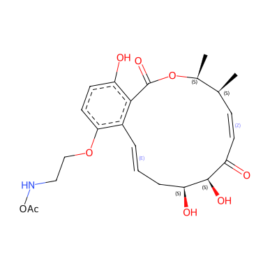 CC(=O)ONCCOc1ccc(O)c2c1/C=C/C[C@H](O)[C@H](O)C(=O)/C=C\[C@H](C)[C@H](C)OC2=O